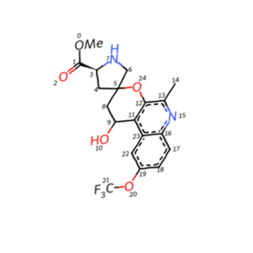 COC(=O)[C@@H]1CC2(CN1)CC(O)c1c(c(C)nc3ccc(OC(F)(F)F)cc13)O2